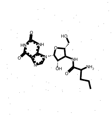 CCCC(N)C(=O)NC1[C@@H](CO)O[C@@H](n2cnc3c(=O)[nH]c(=O)[nH]c32)[C@H]1O